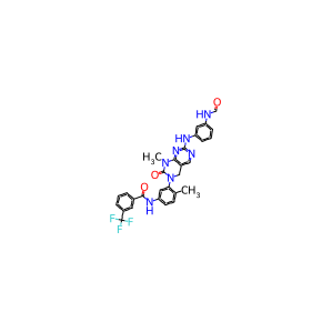 Cc1ccc(NC(=O)c2cccc(C(F)(F)F)c2)cc1N1Cc2cnc(Nc3cccc(NC=O)c3)nc2N(C)C1=O